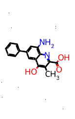 Cc1c(C(=O)O)nc2c(N)cc(-c3ccccc3)cc2c1O